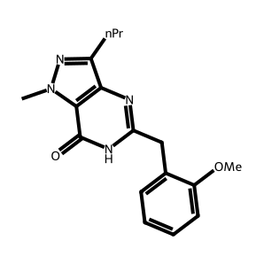 CCCc1nn(C)c2c(=O)[nH]c(Cc3ccccc3OC)nc12